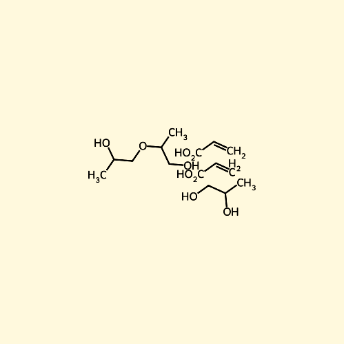 C=CC(=O)O.C=CC(=O)O.CC(O)CO.CC(O)COC(C)CO